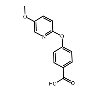 COc1ccc(Oc2ccc(C(=O)O)cc2)nc1